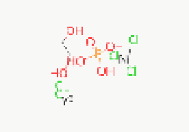 O=P(O)(O)O.OCCO.[Cl-].[Cl-].[Cl-].[Cl][Ni][Cl].[Y+3]